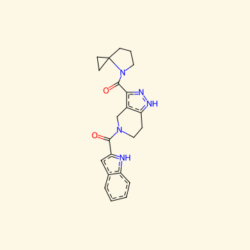 O=C(c1cc2ccccc2[nH]1)N1CCc2[nH]nc(C(=O)N3CCCC34CC4)c2C1